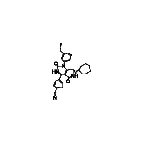 N#Cc1ccc([C@H]2NC(=O)N(c3cccc(CF)c3)C3=C2C(=O)NN(C2CCCCCC2)C3)cc1